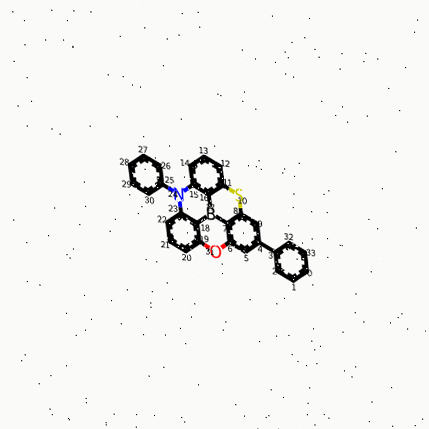 c1ccc(-c2cc3c4c(c2)Sc2cccc5c2B4c2c(cccc2N5c2ccccc2)O3)cc1